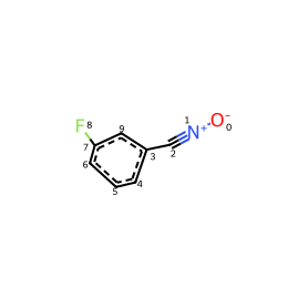 [O-][N+]#Cc1cccc(F)c1